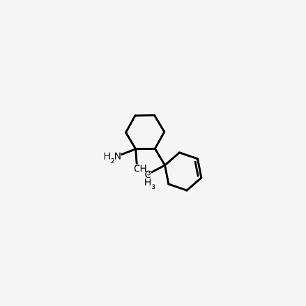 CC1(N)CCCCC1C1(C)CC=CCC1